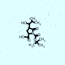 CC(C)C(O)C1CC(C(=O)O)N(C(=O)OC(C)(C)C)C1=O